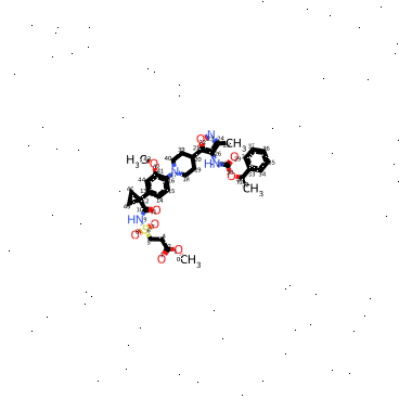 COC(=O)CCS(=O)(=O)NC(=O)C1(c2ccc(N3CCC(c4onc(C)c4NC(=O)O[C@H](C)c4ccccc4)CC3)c(OC)c2)CC1